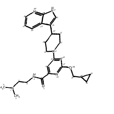 CN(C)CCNC(=O)c1cc(N2CCC(c3c[nH]c4ncccc34)CC2)nc(OCC2CC2)n1